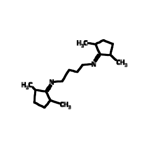 CC1CCC(C)C1=NCCCCN=C1C(C)CCC1C